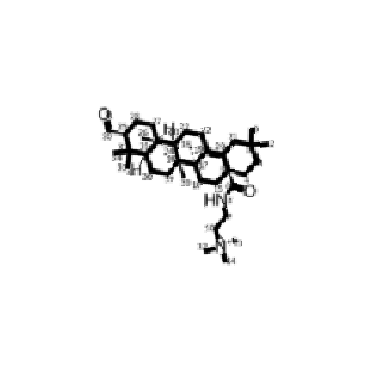 CC1(C)CC[C@]2(C(=O)NCC[N+](C)(C)C)CC[C@]3(C)C(=C2C1)CC[C@@H]1[C@@]2(C)CC[C@H](C=O)C(C)(C)[C@@H]2CC[C@]13C